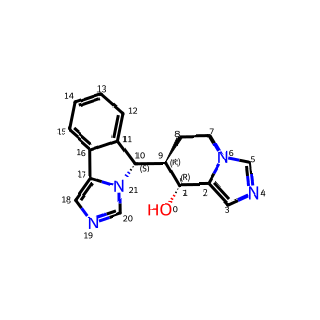 O[C@H]1c2cncn2CC[C@@H]1[C@H]1c2ccccc2-c2cncn21